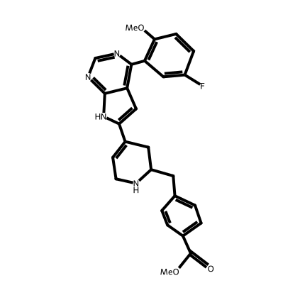 COC(=O)c1ccc(CC2CC(c3cc4c(-c5cc(F)ccc5OC)ncnc4[nH]3)=CCN2)cc1